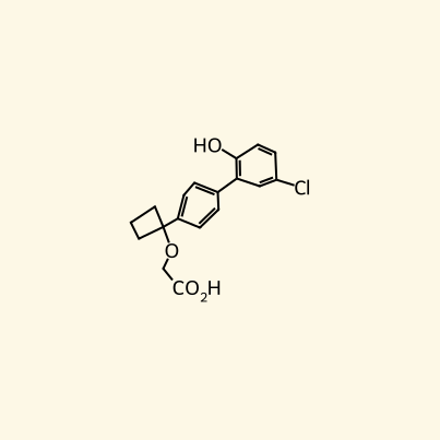 O=C(O)COC1(c2ccc(-c3cc(Cl)ccc3O)cc2)CCC1